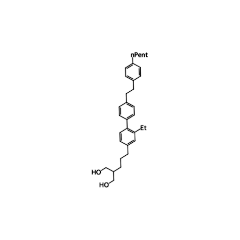 CCCCCc1ccc(CCc2ccc(-c3ccc(CCCC(CO)CO)cc3CC)cc2)cc1